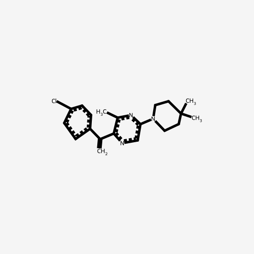 C=C(c1ccc(Cl)cc1)c1ncc(N2CCC(C)(C)CC2)nc1C